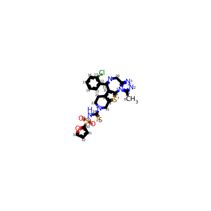 Cc1nnc2n1-c1sc3c(c1C(c1ccccc1Cl)=NC2)CCN(C(=S)NS(=O)(=O)c1ccco1)C3